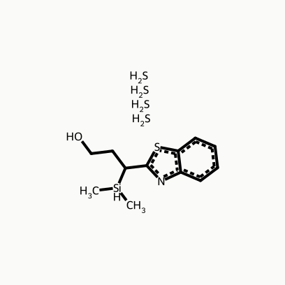 C[SiH](C)C(CCO)c1nc2ccccc2s1.S.S.S.S